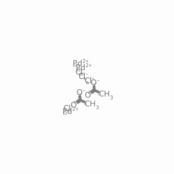 CC(=O)[O-].CC(=O)[O-].[Cl-].[Cl-].[Cl-].[Cl-].[Pd+2].[Pd+2].[Pd+2]